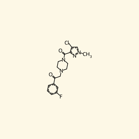 Cn1cc(Cl)c(C(=O)N2CCN(CC(=O)c3cccc(F)c3)CC2)n1